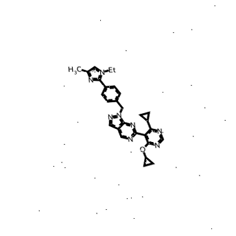 CCn1cc(C)nc1-c1ccc(Cn2ncc3cnc(-c4c(OC5CC5)ncnc4C4CC4)nc32)cc1